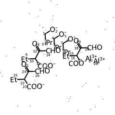 CC(C)C[O-].CC(C)C[O-].CC(C)C[O-].CCC(C(=O)[O-])C(=O)C=O.CCC(C(=O)[O-])C(=O)C=O.CCC(C(=O)[O-])C(=O)C=O.[Al+3].[Al+3]